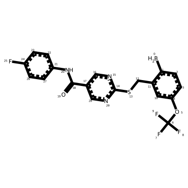 Bc1ccc(OC(F)(F)F)cc1CSc1ncc(C(=O)Nc2ccc(F)cc2)cn1